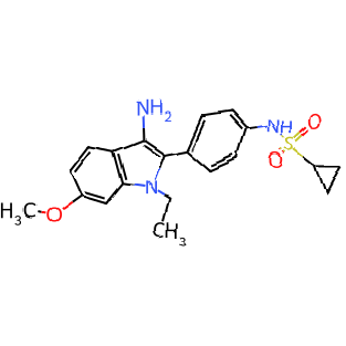 CCn1c(-c2ccc(NS(=O)(=O)C3CC3)cc2)c(N)c2ccc(OC)cc21